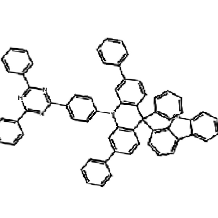 c1ccc(-c2ccc3c(c2)N(c2ccc(-c4nc(-c5ccccc5)nc(-c5ccccc5)n4)cc2)c2cc(-c4ccccc4)ccc2C3(c2ccccc2)c2cccc3c2oc2ccccc23)cc1